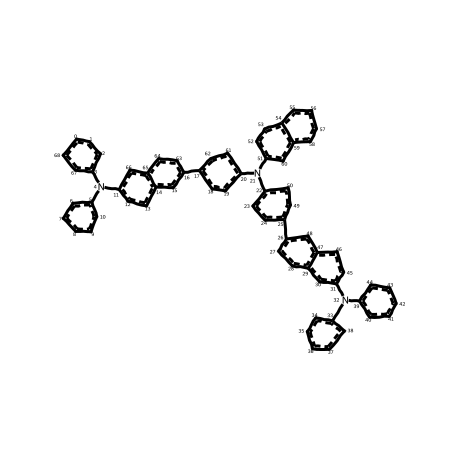 c1ccc(N(c2ccccc2)c2ccc3cc(-c4ccc(N(c5ccc(-c6ccc7cc(N(c8ccccc8)c8ccccc8)ccc7c6)cc5)c5ccc6ccccc6c5)cc4)ccc3c2)cc1